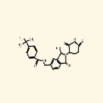 CC(C)(C)c1ccc(C(=O)NCc2ccc3c(c2)C(O)N(C2CCC(=O)NC2=O)C3O)cc1